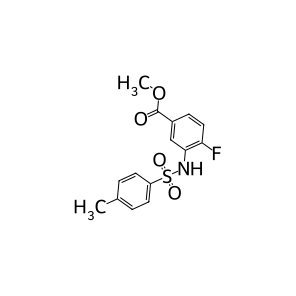 COC(=O)c1ccc(F)c(NS(=O)(=O)c2ccc(C)cc2)c1